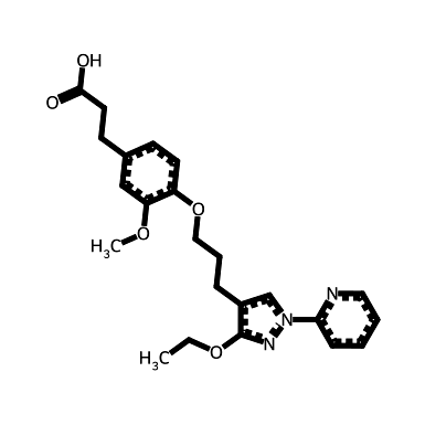 CCOc1nn(-c2ccccn2)cc1CCCOc1ccc(CCC(=O)O)cc1OC